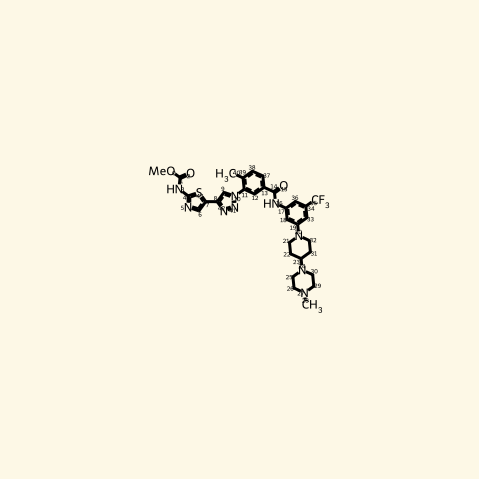 COC(=O)Nc1ncc(-c2cn(-c3cc(C(=O)Nc4cc(N5CCC(N6CCN(C)CC6)CC5)cc(C(F)(F)F)c4)ccc3C)nn2)s1